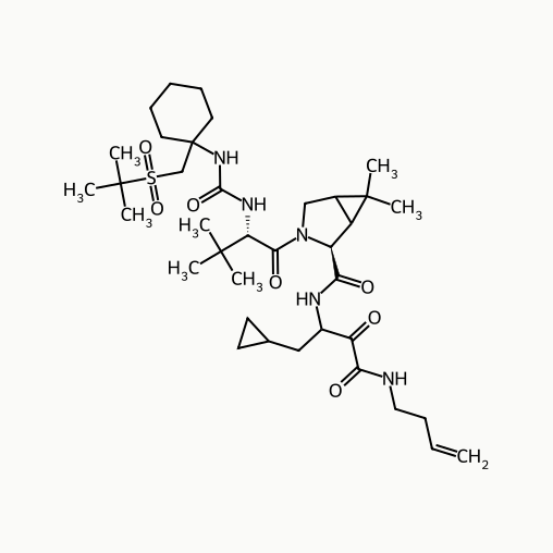 C=CCCNC(=O)C(=O)C(CC1CC1)NC(=O)[C@@H]1C2C(CN1C(=O)[C@@H](NC(=O)NC1(CS(=O)(=O)C(C)(C)C)CCCCC1)C(C)(C)C)C2(C)C